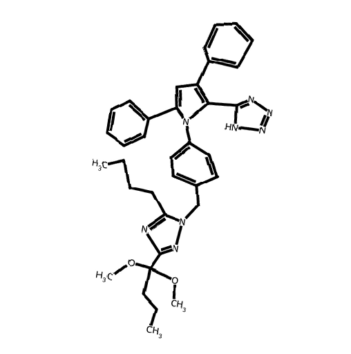 CCCCc1nc(C(CCC)(OC)OC)nn1Cc1ccc(-n2c(-c3ccccc3)cc(-c3ccccc3)c2-c2nnn[nH]2)cc1